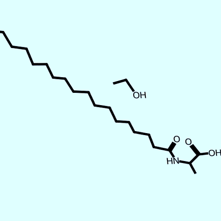 CCCCCCCCCCCCCCCCCC(=O)NC(C)C(=O)O.CCO